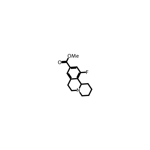 COC(=O)c1cc(F)c2c(c1)CCN1CCCCC21